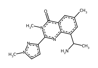 Cc1cc(C(C)N)c2nc(-c3ccn(C)n3)n(C)c(=O)c2c1